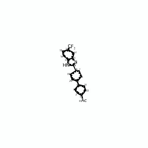 CC(=O)c1ccc(-c2ccc(-c3nc4cc(C(F)(F)F)ccc4[nH]3)cc2)cc1